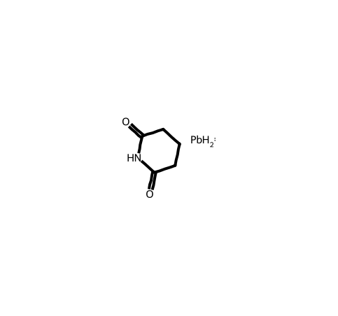 O=C1CCCC(=O)N1.[PbH2]